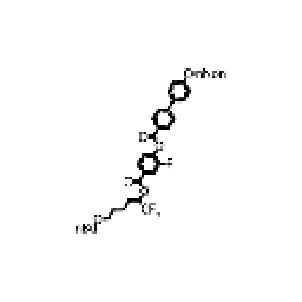 CCCCCCCCCOc1ccc(-c2ccc(C(=O)Oc3ccc(C(=O)OC(CCCCOCCCC)C(F)(F)F)cc3F)cc2)cc1